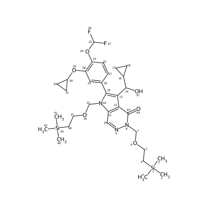 C[Si](C)(C)CCOCn1ncc2c(c(C(O)C3CC3)c(-c3ccc(OC(F)F)c(OC4CC4)c3)n2COCC[Si](C)(C)C)c1=O